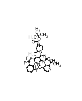 Cc1ccnc(C(C)C)c1-n1c(=O)nc(N2CCN(C(=O)OC(C)(C)C)C[C@@H]2C)c2cc(F)c(-c3c(F)cccc3C(F)(F)F)nc21